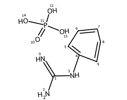 N=C(N)Nc1ccccc1.O=P(O)(O)O